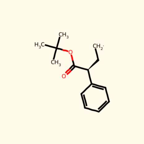 [CH2]C[C@H](C(=O)OC(C)(C)C)c1ccccc1